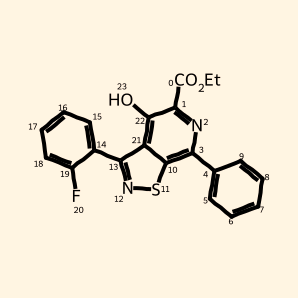 CCOC(=O)c1nc(-c2ccccc2)c2snc(-c3ccccc3F)c2c1O